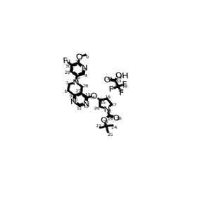 COc1ncc(N2CCc3ncnc(O[C@H]4CCN(C(=O)OC(C)(C)C)C4)c3C2)cc1F.O=C(O)C(F)(F)F